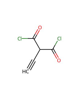 C#CC(C(=O)Cl)C(=O)Cl